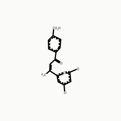 O=C(O)c1ccc(C(=O)C=C(c2cc(Cl)cc(Cl)c2)C(F)(F)F)cc1